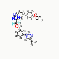 FC(F)(F)Oc1ccc(-c2ccc3nnc(C(F)(F)OCc4cccc(-n5cnc(C6CC6)c5)c4)n3c2)cc1